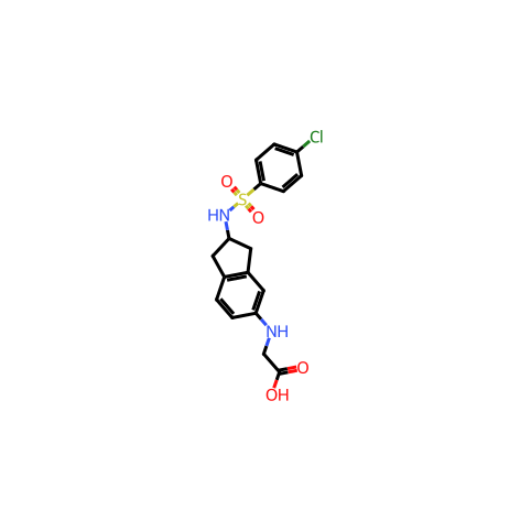 O=C(O)CNc1ccc2c(c1)CC(NS(=O)(=O)c1ccc(Cl)cc1)C2